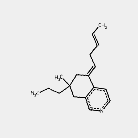 C/C=C/C/C=C1\CC(C)(CCC)Cc2cnccc21